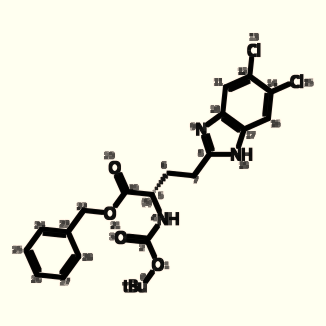 CC(C)(C)OC(=O)N[C@@H](CCc1nc2cc(Cl)c(Cl)cc2[nH]1)C(=O)OCc1ccccc1